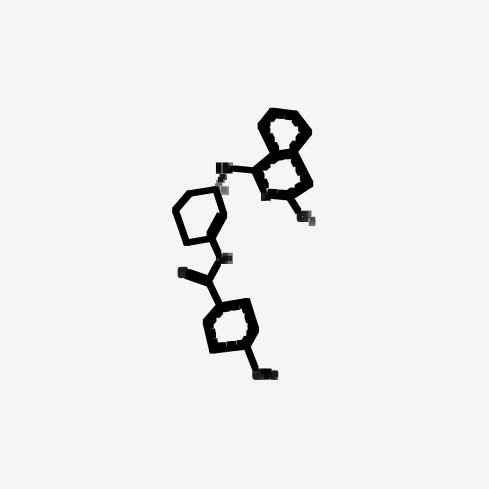 COc1ccc(C(=O)NC2=C[C@@H](Nc3nc(C(F)(F)F)cc4ccccc34)CCC2)cc1